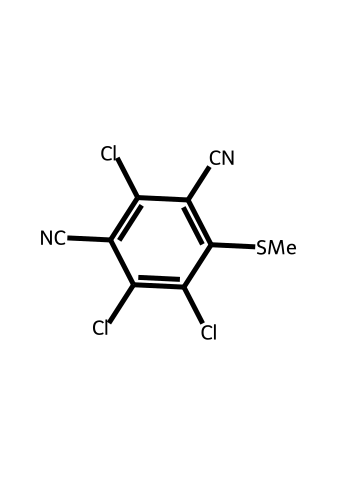 CSc1c(Cl)c(Cl)c(C#N)c(Cl)c1C#N